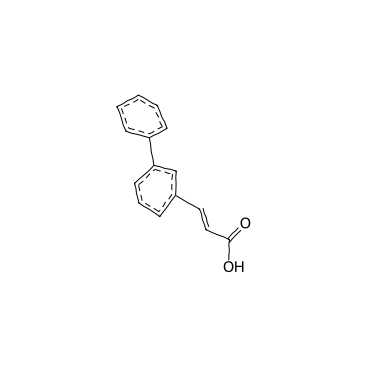 O=C(O)C=Cc1cccc(-c2ccccc2)c1